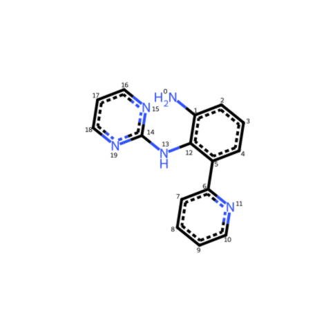 Nc1cccc(-c2ccccn2)c1Nc1ncccn1